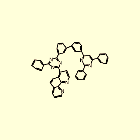 c1ccc(-c2cc(-c3cccc(-c4cccc(-c5nc(-c6ccccc6)nc(-c6ccnc7c6ccc6cccnc67)n5)c4)c3)nc(-c3ccccc3)n2)cc1